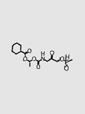 CC(OC(=O)NCC(=O)CO[PH](C)=O)OC(=O)C1CCCCC1